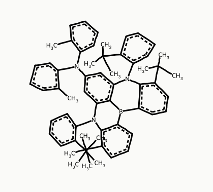 Cc1ccccc1N(c1cc2c3c(c1)N(c1ccccc1C(C)(C)C)c1c(cccc1C(C)(C)C)B3c1cccc(C(C)(C)C)c1N2c1ccccc1C(C)(C)C)c1ccccc1C